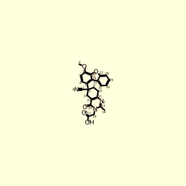 COc1ccc(C2(C#N)CCc3nc(C)n(CC(=O)O)c(=O)c3C2)c2c1oc1ccccc12